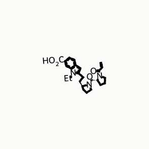 C=CC(=O)N1CCC[C@@H]1C(=O)N1CCC[C@H]1CCc1cc2ccc(C(=O)O)cc2n1CC